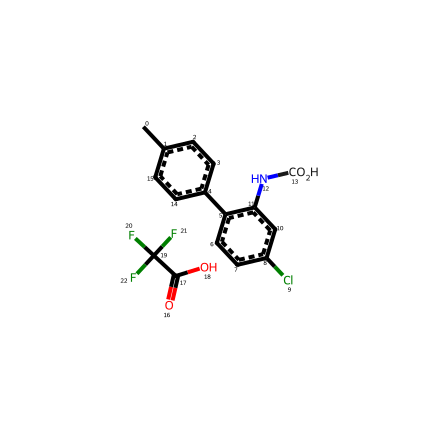 Cc1ccc(-c2ccc(Cl)cc2NC(=O)O)cc1.O=C(O)C(F)(F)F